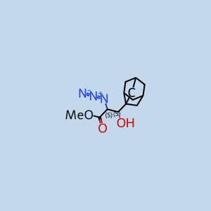 COC(=O)[C@@H](N=[N+]=[N-])[C@@H](O)C12CC3CC(CC1C3)C2